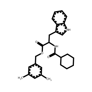 Cc1cc(C)cc(COC(=O)C(Cc2c[nH]c3ccccc23)NC(=O)C2CCCCC2)c1